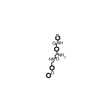 NC(CC(=O)NCCc1ccc(Oc2ccccc2)cc1)c1ccc(C(=O)Nc2ccncc2)cc1